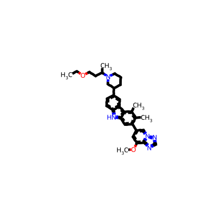 CCOCCC(C)N1CCCC(c2ccc3[nH]c4cc(-c5cc(OC)c6ncnn6c5)c(C)c(C)c4c3c2)C1